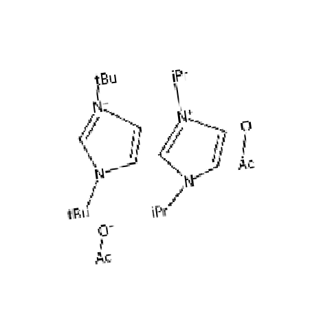 CC(=O)[O-].CC(=O)[O-].CC(C)(C)n1cc[n+](C(C)(C)C)c1.CC(C)n1cc[n+](C(C)C)c1